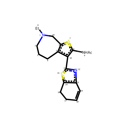 CCN1CCCc2c(sc(NC(C)=O)c2-c2nc3c(s2)CCC=C3)C1